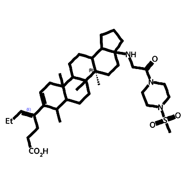 CC/C=C(\CCC(=O)O)C1=CCC2(C)C(CCC3(C)C2CCC2C4CCCC4(NCC(=O)N4CCN(S(C)(=O)=O)CC4)CC[C@]23C)C1C